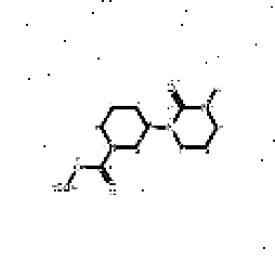 CN1CCCN([C@@H]2CCCN(C(=O)OC(C)(C)C)C2)C1=O